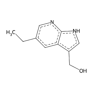 CCc1cnc2[nH]cc(CO)c2c1